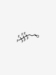 O=[C]CCC(F)(F)C(F)(F)C(F)(F)F